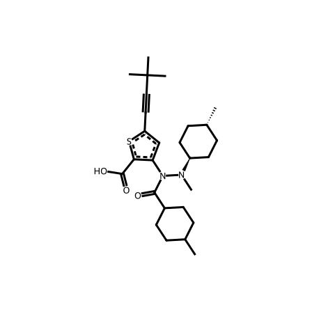 CC1CCC(C(=O)N(c2cc(C#CC(C)(C)C)sc2C(=O)O)N(C)[C@H]2CC[C@H](C)CC2)CC1